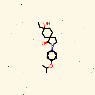 CCC1(O)CCC2(CCN(c3ccc(OC(C)C)cc3)C2=O)CC1